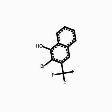 Oc1c(Br)c(C(F)(F)F)cc2ccccc12